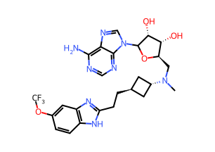 CN(C[C@H]1OC(n2cnc3c(N)ncnc32)[C@H](O)[C@@H]1O)[C@H]1C[C@H](CCc2nc3cc(OC(F)(F)F)ccc3[nH]2)C1